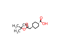 CC(C)(C)OC(=O)C[C@H]1CC[C@H](C(=O)O)CC1